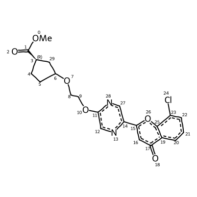 COC(=O)[C@@H]1CCC(OCCOc2cnc(-c3cc(=O)c4cccc(Cl)c4o3)cn2)C1